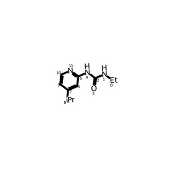 CCNC(=O)Nc1cc(C(C)C)ccn1